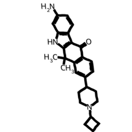 CC1(C)c2cc(C3CCN(C4CCC4)CC3)ccc2C(=O)c2c1[nH]c1cc(N)ccc21